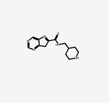 O=C(NCC1CCNCC1)C1=Nc2cncnc2C1